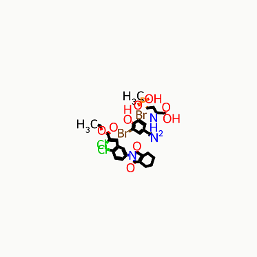 CCOC(=O)/C(Cl)=C/c1cc(N2C(=O)C3=C(CCCC3)C2=O)ccc1Cl.CP(=O)(O)CCC(N)C(=O)O.N#Cc1cc(Br)c(O)c(Br)c1